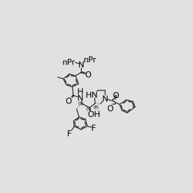 CCCN(CCC)C(=O)c1cc(C)cc(C(=O)N[C@@H](Cc2cc(F)cc(F)c2)[C@H](O)[C@H]2CN(S(=O)(=O)c3ccccc3)CCN2)c1